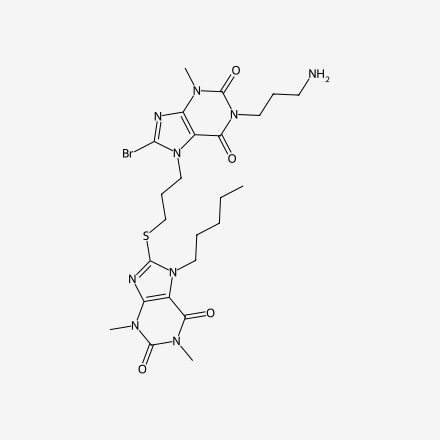 CCCCCn1c(SCCCn2c(Br)nc3c2c(=O)n(CCCN)c(=O)n3C)nc2c1c(=O)n(C)c(=O)n2C